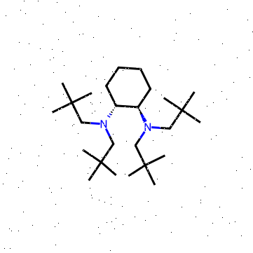 CC(C)(C)CN(CC(C)(C)C)[C@@H]1CCCC[C@H]1N(CC(C)(C)C)CC(C)(C)C